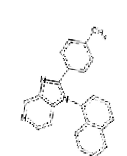 Cc1ccc(-c2nc3cnccc3n2-c2cccc3ccccc23)cc1